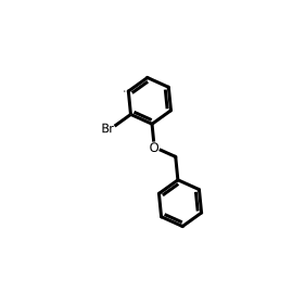 Brc1[c]cccc1OCc1ccccc1